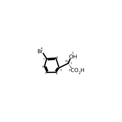 O=C(O)[C@@H](O)c1cccc(Br)c1